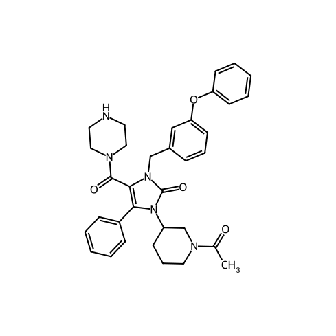 CC(=O)N1CCCC(n2c(-c3ccccc3)c(C(=O)N3CCNCC3)n(Cc3cccc(Oc4ccccc4)c3)c2=O)C1